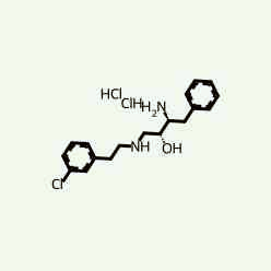 Cl.Cl.N[C@@H](Cc1ccccc1)[C@H](O)CNCCc1cccc(Cl)c1